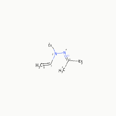 C=CN(CC)/N=C(\C)CC